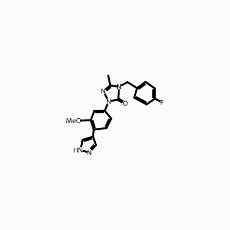 COc1cc(-n2nc(C)n(Cc3ccc(F)cc3)c2=O)ccc1-c1cn[nH]c1